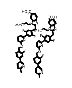 COCCn1c(Cc2cc(F)c(-c3cccc(OCc4ccc(-c5ccc(C)nc5)cc4F)n3)cc2F)nc2ccc(C(=O)O)cc21.COCCn1c(Cc2cc(F)c(-c3cccc(OCc4ccc(-c5ccc(C)nc5)cc4F)n3)cc2F)nc2ccc(C(=O)O)cc21